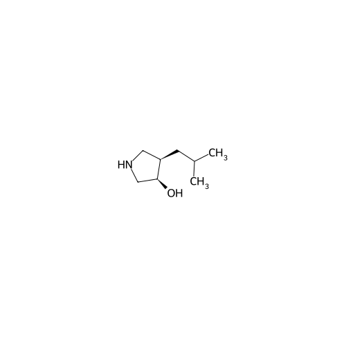 CC(C)C[C@@H]1CNC[C@@H]1O